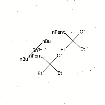 CCCCCC([O-])(CC)CC.CCCCCC([O-])(CC)CC.CCC[CH2][Sn+2][CH2]CCC